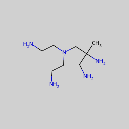 CC(N)(CN)CN(CCN)CCN